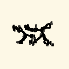 C=C(C)C(=O)OC.OC(=S)S